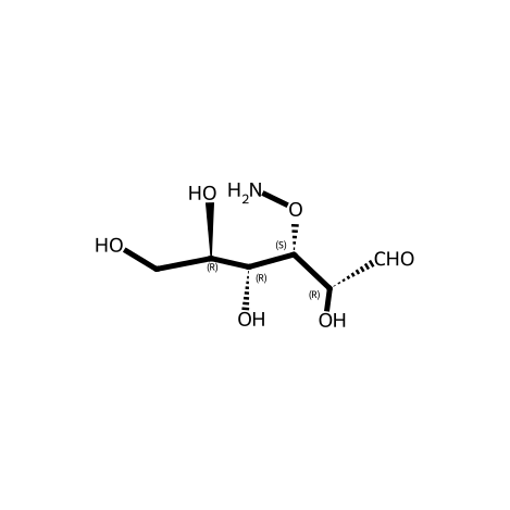 NO[C@@H]([C@H](O)[C@H](O)CO)[C@@H](O)C=O